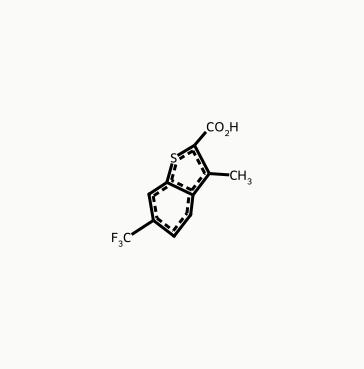 Cc1c(C(=O)O)sc2cc(C(F)(F)F)ccc12